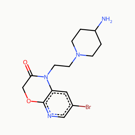 NC1CCN(CCN2C(=O)COc3ncc(Br)cc32)CC1